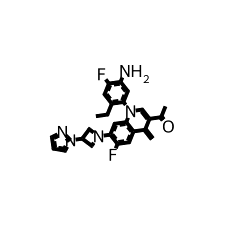 C=C1C(C(C)=O)=CN(c2cc(N)c(F)cc2CC)c2cc(N3CC(n4cccn4)C3)c(F)cc21